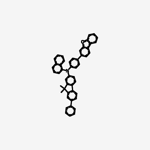 CC1(C)c2cc(-c3ccccc3)ccc2-c2ccc(N(c3ccc(-c4ccc5c(c4)oc4ccccc45)cc3)c3cccc4ccccc34)cc21